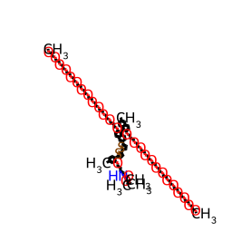 COCCOCCOCCOCCOCCOCCOCCOCCOCCOCCOCCOCCCOc1ccc2cc(C)ccc2c1-c1c(OCCCOCCOCCOCCOCCOCCOCCOCCOCCOCCOCCOCCOC)ccc2cc(-c3ccc(-c4ccc(-c5ccc(C)cc5OCCCCNC(=O)OC(C)(C)C)s4)s3)ccc12